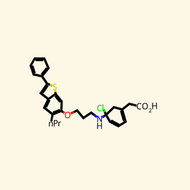 CCCc1cc2cc(-c3ccccc3)sc2cc1OCCCNC1(Cl)C=CC=C(CC(=O)O)C1